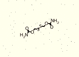 NC(=O)OCSSCOC(N)=O